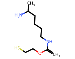 C=C(NCCCCC(C)N)OCCS